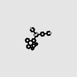 c1ccc2c(c1)-c1ccccc1C1(c3ccc(-c4cc(-c5ccc(-c6ccncc6)cc5)nc(-c5ccncc5)n4)cc3-2)c2ccccc2-c2ccccc21